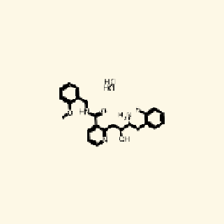 COc1ccccc1CNC(=O)c1cccnc1C[C@H](O)[C@H](N)Cc1ccccc1F.Cl.Cl